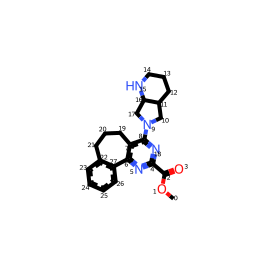 COC(=O)c1nc2c(c(N3CC4CCCNC4C3)n1)CCCc1ccccc1-2